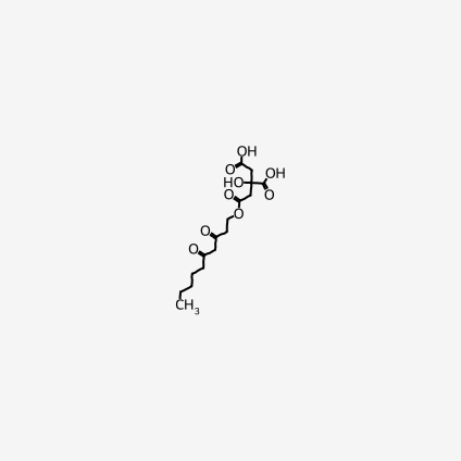 CCCCCC(=O)CC(=O)CCOC(=O)CC(O)(CC(=O)O)C(=O)O